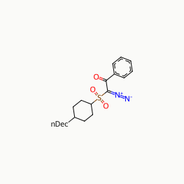 CCCCCCCCCCC1CCC(S(=O)(=O)C(=[N+]=[N-])C(=O)c2ccccc2)CC1